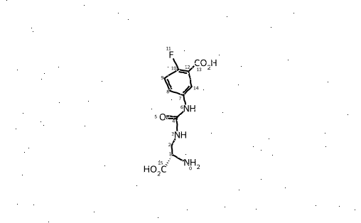 N[C@@H](CNC(=O)Nc1ccc(F)c(C(=O)O)c1)C(=O)O